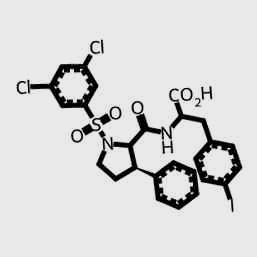 O=C(O)C(Cc1ccc(I)cc1)NC(=O)C1[C@@H](c2ccccc2)CCN1S(=O)(=O)c1cc(Cl)cc(Cl)c1